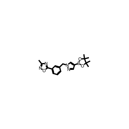 Cc1noc(-c2cccc(Cn3cc(B4OC(C)(C)C(C)(C)O4)cn3)c2)n1